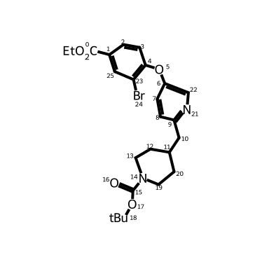 CCOC(=O)c1ccc(Oc2ccc(CC3CCN(C(=O)OC(C)(C)C)CC3)nc2)c(Br)c1